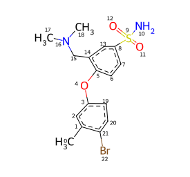 Cc1cc(Oc2ccc(S(N)(=O)=O)cc2CN(C)C)ccc1Br